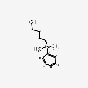 C[Si](C)(CCCCS)c1ccccc1